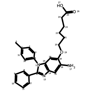 Cc1ccc(-n2c(-c3ccccc3)nc3cc(N)c(OCCCCCC(=O)O)cc32)cc1